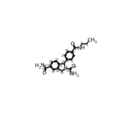 CCCNC(=O)c1ccc(C2c3ccc(C(N)=O)cc3CN2C(N)=O)cc1